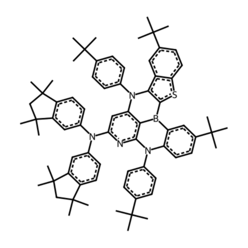 CC(C)(C)c1ccc(N2c3ccc(C(C)(C)C)cc3B3c4sc5ccc(C(C)(C)C)cc5c4N(c4ccc(C(C)(C)C)cc4)c4cc(N(c5ccc6c(c5)C(C)(C)CC6(C)C)c5ccc6c(c5)C(C)(C)CC6(C)C)nc2c43)cc1